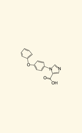 O=C(O)c1cncn1-c1ccc(Oc2ccccc2)cc1